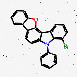 Brc1cccc2c3c4oc5ccccc5c4ccc3n(-c3ccccc3)c12